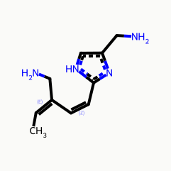 C/C=C(\C=C/c1nc(CN)c[nH]1)CN